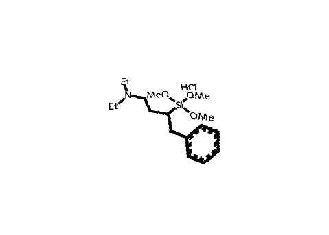 CCN(CC)CCC(Cc1ccccc1)[Si](OC)(OC)OC.Cl